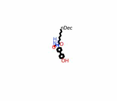 CCCCCCCCCCCCCCCCCC(=O)N(C(N)=O)c1ccc(-c2ccc(O)cc2)cc1